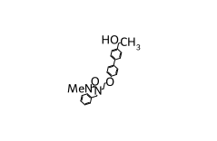 CNC(=O)N(CCOc1ccc(-c2ccc(C(C)O)cc2)cc1)Cc1ccccc1